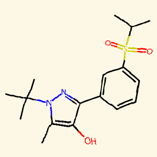 Cc1c(O)c(-c2cccc(S(=O)(=O)C(C)C)c2)nn1C(C)(C)C